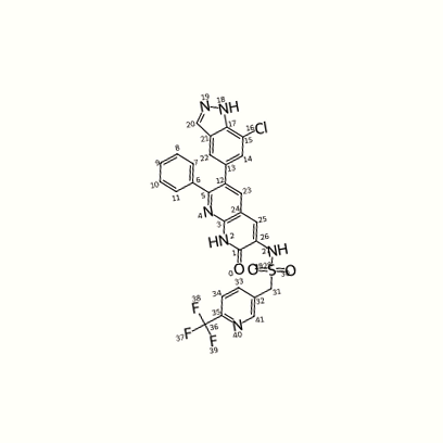 O=c1[nH]c2nc(-c3ccccc3)c(-c3cc(Cl)c4[nH]ncc4c3)cc2cc1NS(=O)(=O)Cc1ccc(C(F)(F)F)nc1